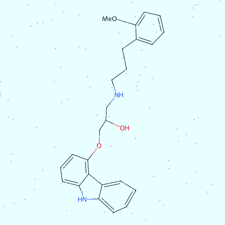 COc1ccccc1CCCNCC(O)COc1cccc2[nH]c3ccccc3c12